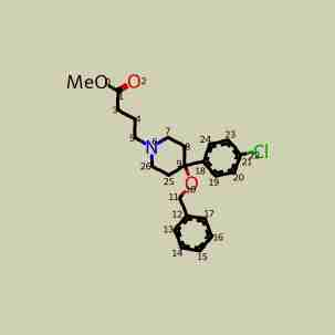 COC(=O)CCCN1CCC(OCc2ccccc2)(c2ccc(Cl)cc2)CC1